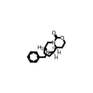 O=C1OCC[C@H]2[C@H]3CC[C@@H](CN12)N3Cc1ccccc1